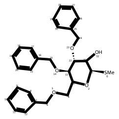 CS[C@H]1OC(COCc2ccccc2)[C@@H](OCc2ccccc2)[C@H](OCc2ccccc2)C1O